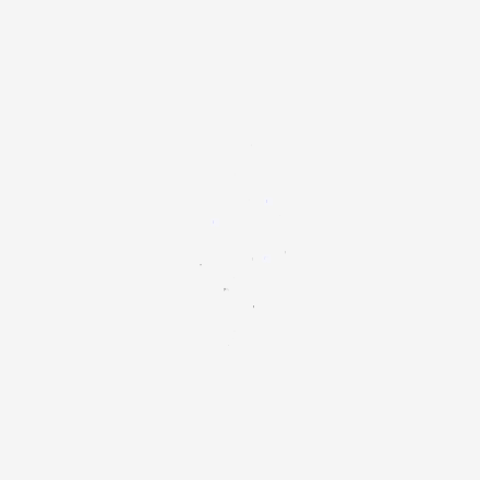 O=C(Cl)C1=C/C=C/[C@H](CCl)C\C=C\1